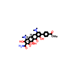 COC(=O)c1ccc(-c2cc(N(C)C)c3c(c2O)C(=O)C2=C(O)[C@]4(O)C(=O)C(C(N)=O)=C(O)[C@@H](N(C)C)[C@H]4C[C@@H]2C3)cc1